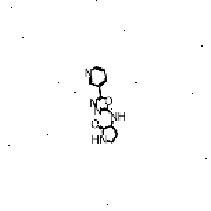 O=C1NCCC1Nc1nnc(-c2cccnc2)o1